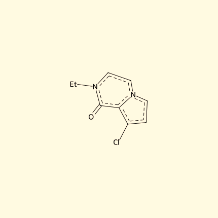 CCn1ccn2ccc(Cl)c2c1=O